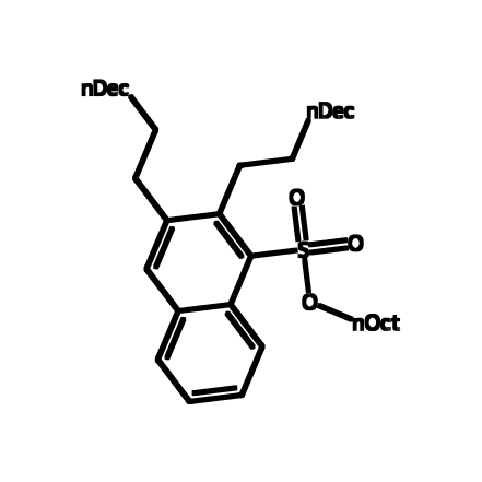 CCCCCCCCCCCCc1cc2ccccc2c(S(=O)(=O)OCCCCCCCC)c1CCCCCCCCCCCC